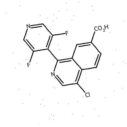 O=C(O)c1ccc2c(Cl)cnc(-c3c(F)cncc3F)c2c1